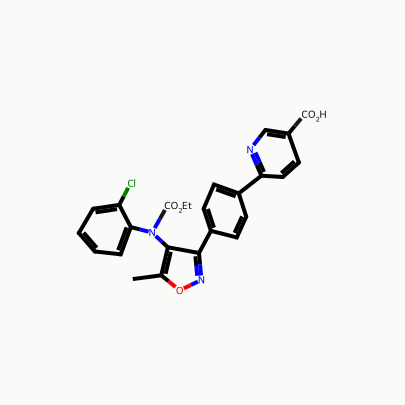 CCOC(=O)N(c1ccccc1Cl)c1c(-c2ccc(-c3ccc(C(=O)O)cn3)cc2)noc1C